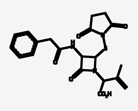 C=C(C)C(C(=O)O)N1C(=O)C(NC(=O)Cc2ccccc2)C1SN1C(=O)CCC1=O